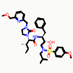 CC[C@H](C)[C@@H](C(=O)N[C@@H](Cc1ccccc1)[C@H](O)CN(CC(C)C)S(=O)(=O)c1ccc(OC)cc1)N1CCN(Cc2cccc(COC)n2)C1=O